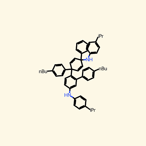 CCCCc1ccc(-c2cc(Nc3ccc(C(C)C)cc3)ccc2C2(c3ccc(CCCC)cc3)C=CC(Nc3ccc(C(C)C)cc3)(c3ccccc3)C=C2)cc1